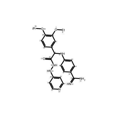 CCOc1cc(C(Nc2ccc(C(=N)N)cc2)C(=O)NNc2ccncc2)ccc1OC(C)C